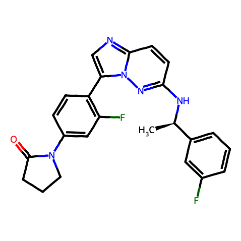 C[C@@H](Nc1ccc2ncc(-c3ccc(N4CCCC4=O)cc3F)n2n1)c1cccc(F)c1